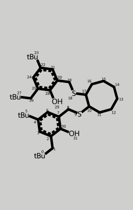 CC(C)(C)Cc1cc(C(C)(C)C)cc(CSC2CCCCCCC2SCc2cc(C(C)(C)C)cc(CC(C)(C)C)c2O)c1O